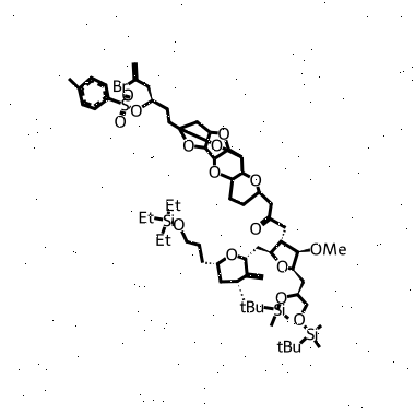 C=C(Br)C[C@@H](CCC12CC3OC4C(OC5CCC(CC(=O)C[C@@H]6[C@@H](OC)[C@@H](C[C@@H](CO[Si](C)(C)C(C)(C)C)O[Si](C)(C)C(C)(C)C)O[C@H]6C[C@H]6O[C@@H](CCCO[Si](CC)(CC)CC)C[C@@H](C)C6=C)OC5C4O1)C3O2)OS(=O)(=O)c1ccc(C)cc1